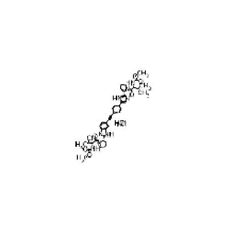 COC(=O)N[C@H](C(=O)N1CCC[C@H]1c1ncc(-c2ccc(C#Cc3ccc4nc([C@@H]5CCCN5C(=O)[C@@H](NC(=O)OC)C(C)C)[nH]c4c3)cc2)[nH]1)C(C)C.Cl.Cl